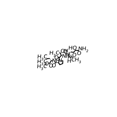 COC(=O)[C@H](CC(C)C)NC(=O)[C@@H]1CCCN1C(=O)[C@@H](NC(=O)[C@H](CCC(O)C(N)=O)NC(C)=O)C(C)C